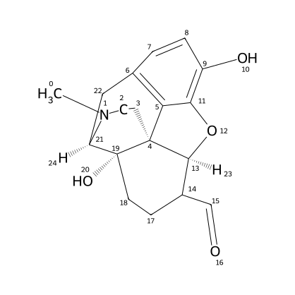 CN1CC[C@]23c4c5ccc(O)c4O[C@H]2C(C=O)CC[C@@]3(O)[C@H]1C5